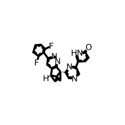 CC1(C)[C@H]2CC[C@]1(c1cncc(-c3ccc(=O)[nH]c3)n1)c1nnc(-c3c(F)cccc3F)cc12